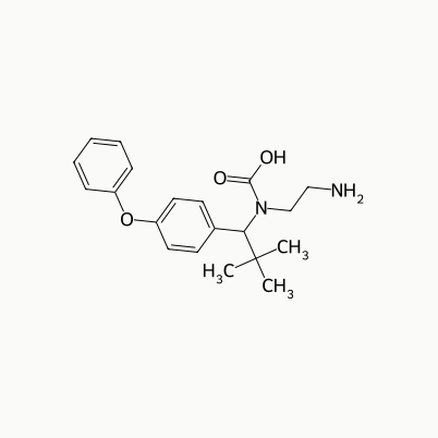 CC(C)(C)C(c1ccc(Oc2ccccc2)cc1)N(CCN)C(=O)O